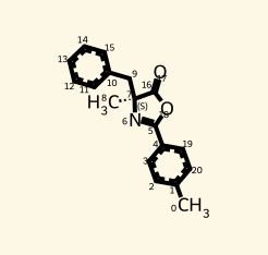 Cc1ccc(C2=N[C@@](C)(Cc3ccccc3)C(=O)O2)cc1